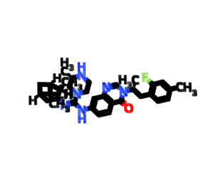 Cc1ccc(C[C@@H](C)n2cnc3cc(N/C(=N/C4C[C@H]5C[C@@H]([C@@H]4C)C5(C)C)N4CCN[C@@H](C)C4)ccc3c2=O)c(F)c1